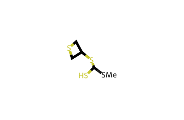 CSC(S)SC1CSC1